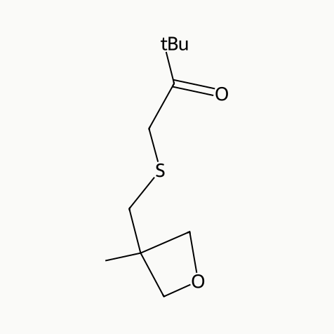 CC1(CSCC(=O)C(C)(C)C)COC1